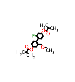 C=C(C)C(=O)Oc1ccc(-c2ccc(OC(=O)C(=C)C)cc2COCC)c(F)c1